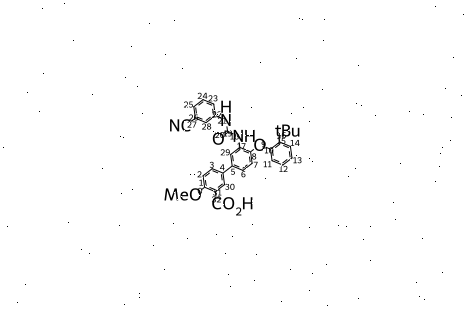 COc1ccc(-c2ccc(Oc3ccccc3C(C)(C)C)c(NC(=O)Nc3cccc(C#N)c3)c2)cc1C(=O)O